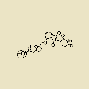 O=C1CCC(N2C(=O)c3cccc(OCc4ccc(CNC56CC7CC(CC5C7)C6)o4)c3C2=O)C(=O)N1